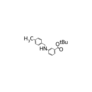 Cc1ccc(CNc2cccc(C(=O)OC(C)(C)C)c2)cc1